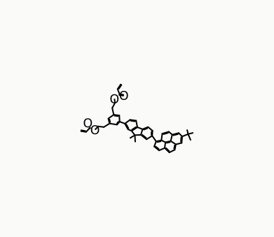 C=CC(=O)OCCc1cc(CCOC(=O)C=C)cc(-c2ccc3c(c2)C(C)(C)c2cc(-c4ccc5ccc6cc(C(C)(C)C)cc7ccc4c5c67)ccc2-3)c1